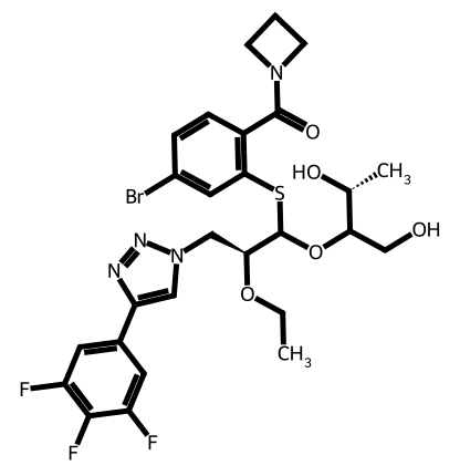 CCO[C@@H](Cn1cc(-c2cc(F)c(F)c(F)c2)nn1)C(OC(CO)[C@@H](C)O)Sc1cc(Br)ccc1C(=O)N1CCC1